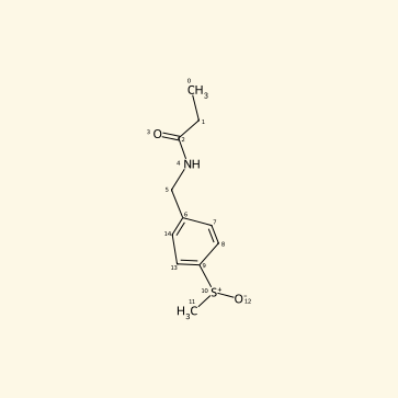 CCC(=O)NCc1ccc([S+](C)[O-])cc1